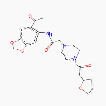 CC(=O)c1cc2c(cc1NC(=O)CN1CCN(C(=O)CC3CCCO3)CC1)OCO2